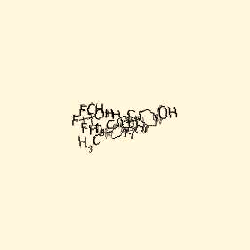 C[C@H](CCC(C)(O)C(F)(F)F)[C@H]1CC[C@H]2[C@@H]3CC=C4C[C@@H](O)CC[C@]4(C)[C@H]3CC[C@]12C